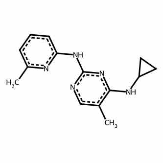 Cc1cccc(Nc2ncc(C)c(NC3CC3)n2)n1